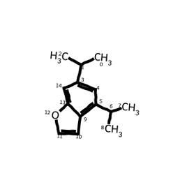 CC(C)c1cc(C(C)C)c2ccoc2c1